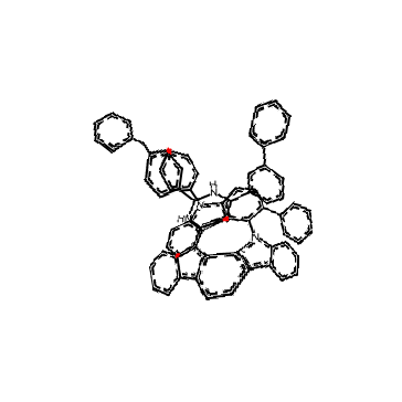 c1ccc(-c2ccc(C3NC(n4c5ccccc5c5ccc6c7ccccc7n(-c7c(-c8ccccc8)ccc8c7c7ccccc7n8-c7ccccc7)c6c54)=NC(c4cccc(-c5ccccc5)c4)N3)cc2)cc1